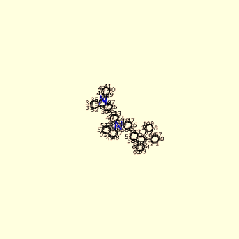 c1ccc(-c2c(-c3ccccc3)c3cc(-c4cccc(N(c5ccc(-c6ccc7c(c6)c6ccccc6n7-c6ccccc6)cc5)c5cccc6ccccc56)c4)ccc3c3ccccc23)cc1